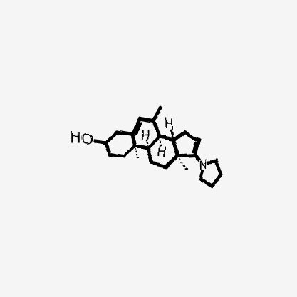 CC1C=C2CC(O)CC[C@]2(C)[C@@H]2CC[C@]3(C)C(N4CCCC4)=CC[C@H]3[C@H]12